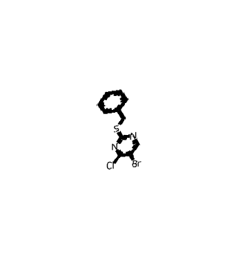 Clc1nc(SCc2ccccc2)ncc1Br